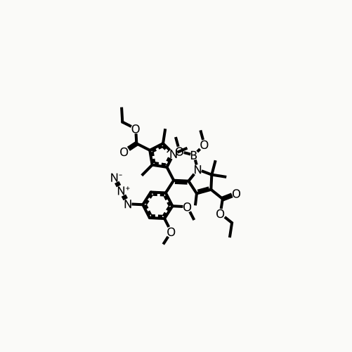 CCOC(=O)C1=C(C)/C(=C(\c2cc(N=[N+]=[N-])cc(OC)c2OC)c2c(C)c(C(=O)OCC)c(C)n2C)N(B(OC)OC)C1(C)C